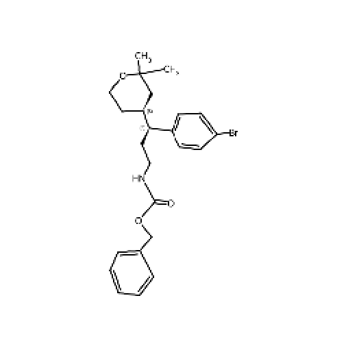 CC1(C)C[C@@H]([C@H](CCNC(=O)OCc2ccccc2)c2ccc(Br)cc2)CCO1